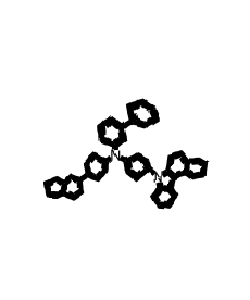 c1ccc(-c2cccc(N(c3ccc(-c4ccc5ccccc5c4)cc3)c3ccc(-n4c5ccccc5c5c6ccccc6ccc54)cc3)c2)cc1